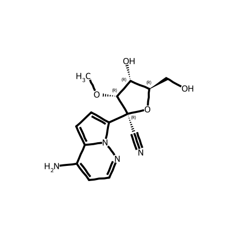 CO[C@@H]1[C@H](O)[C@@H](CO)O[C@@]1(C#N)c1ccc2c(N)ccnn12